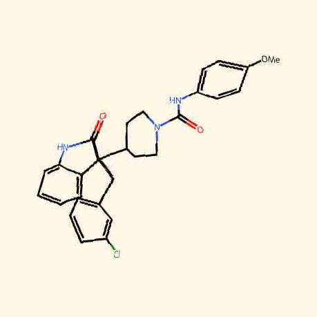 COc1ccc(NC(=O)N2CCC(C3(Cc4cccc(Cl)c4)C(=O)Nc4ccccc43)CC2)cc1